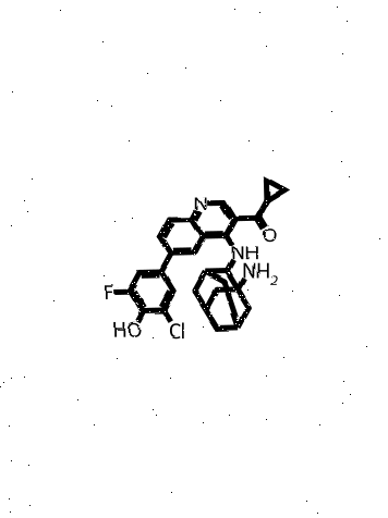 NC12CC3CC(CC(C3)C1Nc1c(C(=O)C3CC3)cnc3ccc(-c4cc(F)c(O)c(Cl)c4)cc13)C2